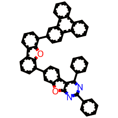 c1ccc(-c2nc(-c3ccccc3)c3c(n2)oc2cc(-c4cccc5c4oc4c(-c6ccc7c8ccccc8c8ccccc8c7c6)cccc45)ccc23)cc1